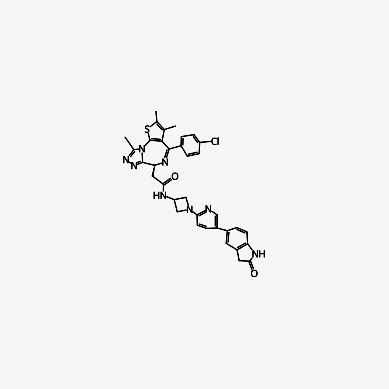 Cc1sc2c(c1C)C(c1ccc(Cl)cc1)=N[C@@H](CC(=O)NC1CN(c3ccc(-c4ccc5c(c4)CC(=O)N5)cn3)C1)c1nnc(C)n1-2